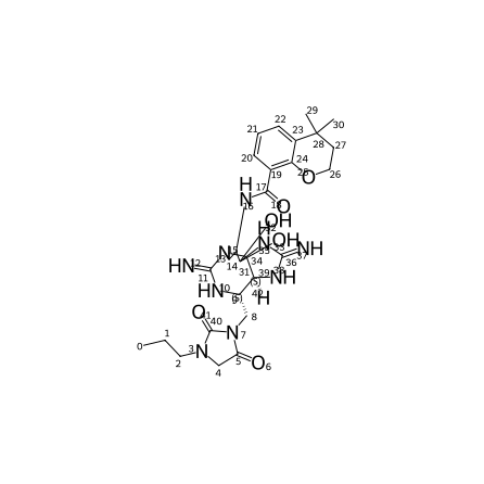 CCCN1CC(=O)N(C[C@@H]2NC(=N)N3CC(NC(=O)c4cccc5c4OCCC5(C)C)C(O)(O)C34NC(=N)N[C@@H]24)C1=O